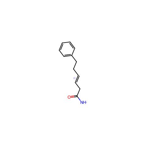 [NH]C(=O)C/C=C/CCc1ccccc1